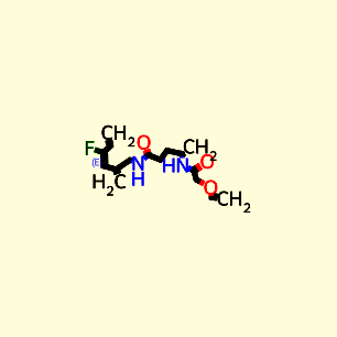 C=COCC(=O)NC(=C)CCC(=O)NCC(=C)/C=C(/F)C=C